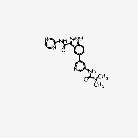 CN(C)C(=O)Nc1cncc(-c2ccc3[nH]nc(C(=O)Nc4cnccn4)c3c2)c1